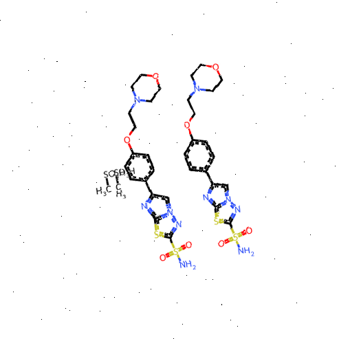 CS(=O)(=O)O.CS(=O)(=O)O.NS(=O)(=O)c1nn2cc(-c3ccc(OCCN4CCOCC4)cc3)nc2s1.NS(=O)(=O)c1nn2cc(-c3ccc(OCCN4CCOCC4)cc3)nc2s1